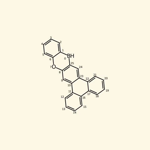 B1c2ccccc2Oc2cc3c4ccccc4c4ccccc4c3cc21